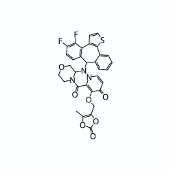 Cc1oc(=O)oc1COc1c2n(ccc1=O)N(C1c3ccccc3-c3sccc3-c3c1ccc(F)c3F)C1COCCN1C2=O